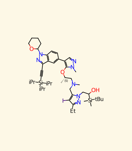 CCc1nn(CC(O)[Si](C)(C)C(C)(C)C)c(CN(C)C[C@H](C)Oc2c(-c3ccc4c(c3)c(C#C[Si](C(C)C)(C(C)C)C(C)C)nn4C3CCCCO3)cnn2C)c1I